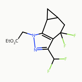 CCOC(=O)Cn1nc(C(F)F)c2c1C1CC1CC2(F)F